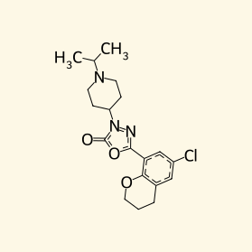 CC(C)N1CCC(n2nc(-c3cc(Cl)cc4c3OCCC4)oc2=O)CC1